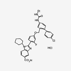 CCNC(=O)Nc1ccc(-c2ccc(Cl)cc2)c(COc2ccc(-c3nc4cc(C(=O)O)ccc4n3C3CCCCC3)c(F)c2)c1.Cl